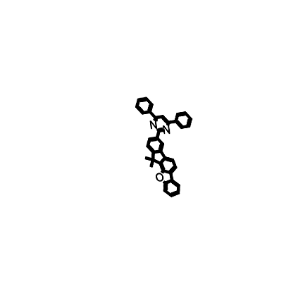 CC1(C)c2ccc(-c3nc(-c4ccccc4)cc(-c4ccccc4)n3)cc2-c2ccc3c(oc4ccccc43)c21